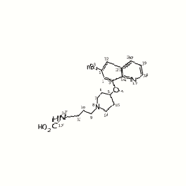 CCCCc1cc(OC2CCN(CCCNC(=O)O)CC2)c2ncccc2c1